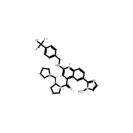 Cn1ccnc1-c1ccc2nc(NCc3ccc(C(F)(F)F)cc3)cc(C(=O)N3CCC[C@H]3CN3CCCC3)c2c1